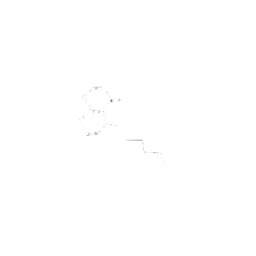 CC(C)(C)NCC(O)COc1cccc2ccoc(=O)c12